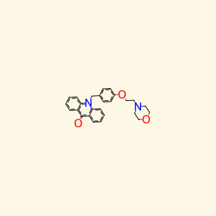 O=c1c2ccccc2n(Cc2ccc(OCCN3CCOCC3)cc2)c2ccccc12